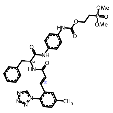 COP(=O)(CCOC(=O)Nc1ccc(NC(=O)[C@H](Cc2ccccc2)NC(=O)/C=C/c2cc(C)ccc2-n2cnnn2)cc1)OC